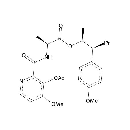 COc1ccc([C@H](C(C)C)[C@H](C)OC(=O)[C@H](C)NC(=O)c2nccc(OC)c2OC(C)=O)cc1